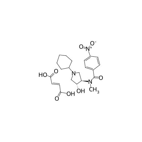 CN(C(=O)c1ccc([N+](=O)[O-])cc1)[C@@H]1CN(C2CCCCC2)C[C@H]1O.O=C(O)C=CC(=O)O